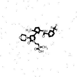 Cc1ccc(NC(=O)c2cccc(C(F)(F)F)c2)cc1-c1cc(N2CCOCC2)c(=O)n(CCN(C)C(=O)O)c1